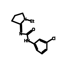 CCN1CCCC1=NC(=O)Nc1cccc(Cl)c1